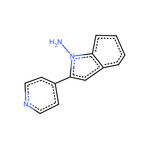 Nn1c(-c2ccncc2)cc2ccccc21